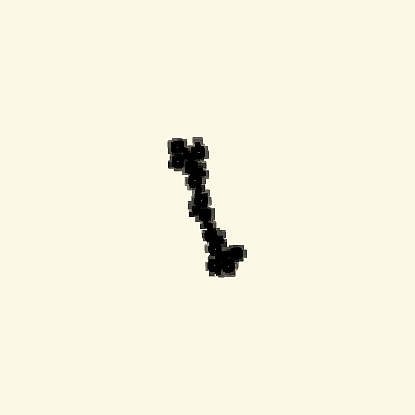 Cc1cccc(N(c2ccc3c(c2)C(C)(C)c2cc(/C=C/c4ccc5c(c4)C(C)(C)c4cc(/C=C/c6ccc7c(c6)C(C)(C)c6cc(N(c8cccc(C)c8)c8cc9ccccc9c9ccccc89)ccc6-7)ccc4-5)ccc2-3)c2cc3ccccc3c3ccccc23)c1